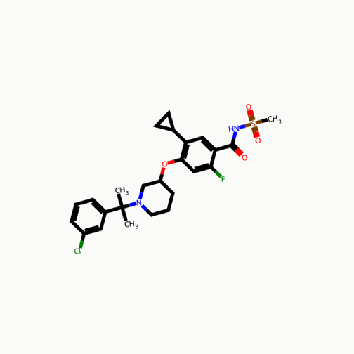 CC(C)(c1cccc(Cl)c1)N1CCCC(Oc2cc(F)c(C(=O)NS(C)(=O)=O)cc2C2CC2)C1